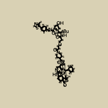 Cc1ncsc1-c1ccc(CNC(=O)[C@@H]2C[C@@H](O)CN2C(=O)[C@@H](NC(=O)CCOCCC(=O)N2CCC(c3nnc(-c4cnc(Nc5ccc6c(c5)C(C)(C)OC6=O)nc4N[C@H](CO)c4ccccc4)o3)CC2)C(C)(C)C)cc1